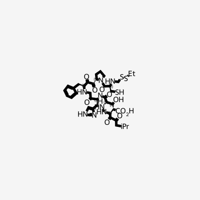 CCSSCN[C@@H](CS)C(=O)N1CCC[C@H]1C(=O)C(=O)[C@H](Cc1ccccc1)NCC(=O)[C@H](Cc1c[nH]cn1)NC(=O)[C@@H](NN[C@@H](CC(=O)O)C(=O)C(=O)CC(C)C)[C@@H](C)O